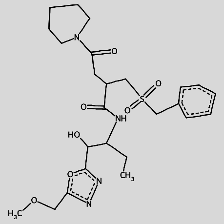 CCC(NC(=O)C(CC(=O)N1CCCCC1)CS(=O)(=O)Cc1ccccc1)C(O)c1nnc(COC)o1